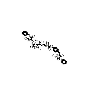 NC(=O)[C@H](CSC1CC(=O)N(Cc2ccccc2)C1=O)NC(=O)[C@@H](N)CCCNC(=O)Oc1ccc(C[C@H](N)C(=O)Nc2ccccc2)cc1